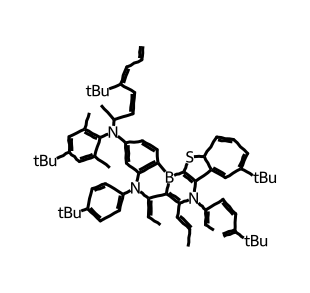 C=C/C=C(\C=C/C(C)N(c1ccc2c(c1)N(c1ccc(C(C)(C)C)cc1)/C(=C/C)C1=C(/C=C/C)N(C(/C=C\C(=C)C(C)(C)C)=C/C)C3=C(SC4C=CC=C(C(C)(C)C)C=C34)B12)c1c(C)cc(C(C)(C)C)cc1C)C(C)(C)C